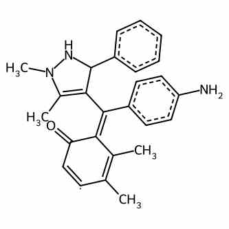 CC1=C(C)C(=C(C2=C(C)N(C)NC2c2ccccc2)c2ccc(N)cc2)C(=O)C=[C]1